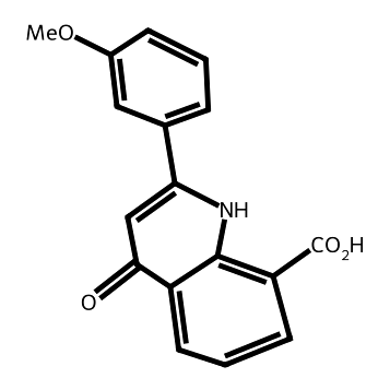 COc1cccc(-c2cc(=O)c3cccc(C(=O)O)c3[nH]2)c1